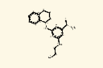 C[C@@H](F)c1nc(NCCC#N)nc(N[C@@H]2CCCc3ccccc32)n1